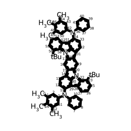 Cc1cc(N(c2ccccc2)c2ccc3c4cc5c(cc4n4c6c(C(C)(C)C)cccc6c2c34)c2ccc(N(c3ccccc3)c3cc(C)c(C)c(C)c3)c3c4cccc(C(C)(C)C)c4n5c23)cc(C)c1C